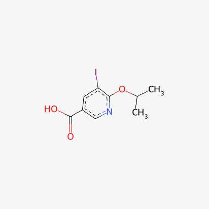 CC(C)Oc1ncc(C(=O)O)cc1I